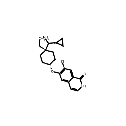 CC[C@]1(C(N)C2CC2)CC[C@@H](Oc2cc3cc[nH]c(=O)c3cc2Cl)CC1